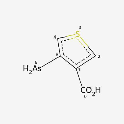 O=C(O)c1cs[c]c1[AsH2]